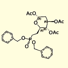 CC(=O)O[C@@H]1C[C@@H](OC(C)=O)[C@H](OC(C)=O)[C@@H](CCP(=O)(OCc2ccccc2)OCc2ccccc2)O1